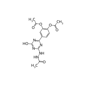 CC(=O)NNc1nc(O)nc(-c2ccc(OC(C)=O)c(OC(C)=O)c2)n1